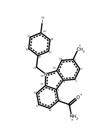 Cc1c[c]c2c3c(C(N)=O)cccc3n(Cc3ccc(I)cc3)c2c1